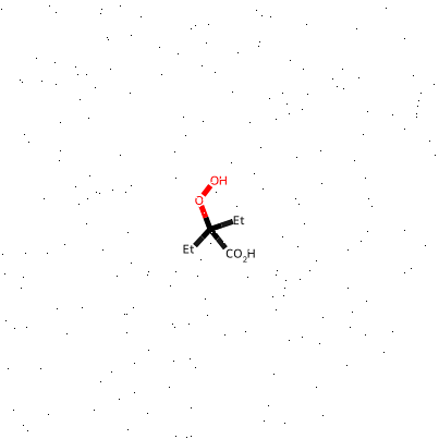 CCC(CC)(OO)C(=O)O